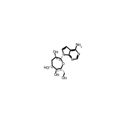 Nc1ncnc2c1ccn2[C@@H]1O[C@H](CO)[C@@H](O)[C@H](O)C[C@H]1O